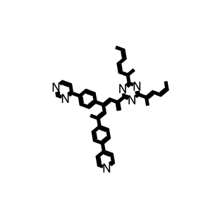 C=C(/C=C(\C=C(/C)c1ccc(-c2ccncc2)cc1)c1ccc(-c2ccncn2)cc1)c1nc(/C(C)=C/C=C\C)nc(C(C)/C=C\C=C/C)n1